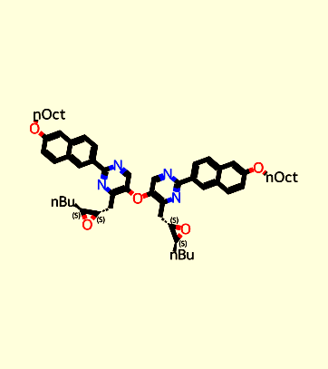 CCCCCCCCOc1ccc2cc(-c3ncc(Oc4cnc(-c5ccc6cc(OCCCCCCCC)ccc6c5)nc4C[C@@H]4O[C@H]4CCCC)c(C[C@@H]4O[C@H]4CCCC)n3)ccc2c1